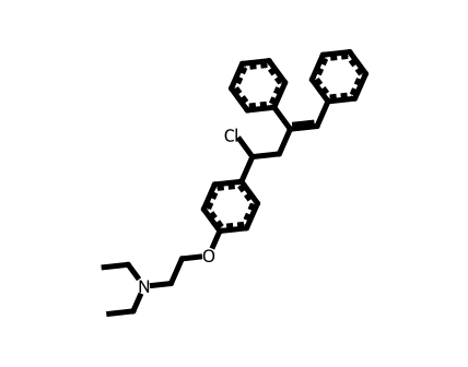 CCN(CC)CCOc1ccc(C(Cl)CC(=Cc2ccccc2)c2ccccc2)cc1